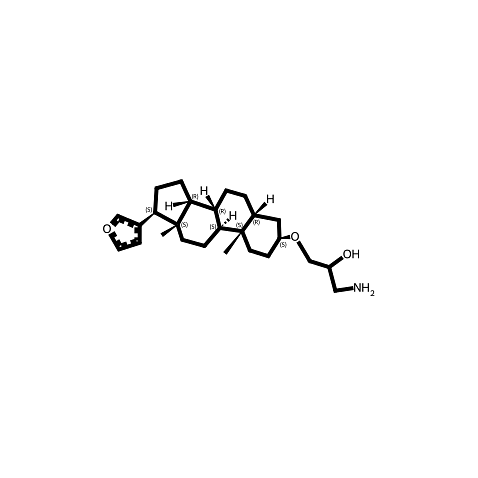 C[C@]12CC[C@H](OCC(O)CN)C[C@H]1CC[C@H]1[C@H]3CC[C@H](c4ccoc4)[C@@]3(C)CC[C@@H]12